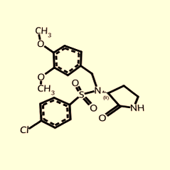 COc1ccc(CN([C@@H]2CCNC2=O)S(=O)(=O)c2ccc(Cl)cc2)cc1OC